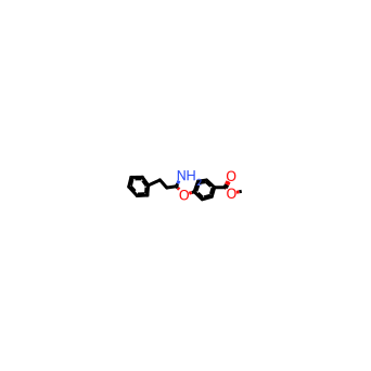 COC(=O)c1ccc(OC(N)CCc2ccccc2)cc1